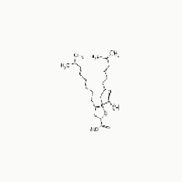 CC(C)CCCCCCC1CC(C(=O)O)OC1(CCCCCCC(C)C)C(=O)O